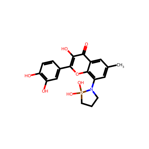 Cc1cc(N2CCCS2(O)O)c2oc(-c3ccc(O)c(O)c3)c(O)c(=O)c2c1